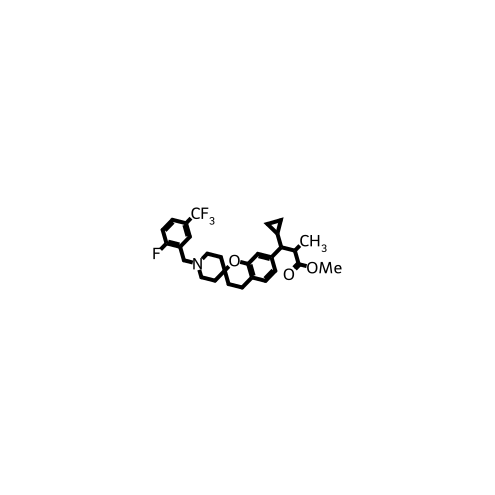 COC(=O)C(C)C(c1ccc2c(c1)OC1(CC2)CCN(Cc2cc(C(F)(F)F)ccc2F)CC1)C1CC1